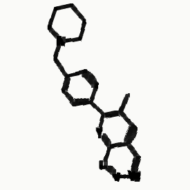 CC1=[C](c2ccc(CN3CCCCC3)cc2)[Y]=[C]2[U]=[V][W]=[CH]C2=C1